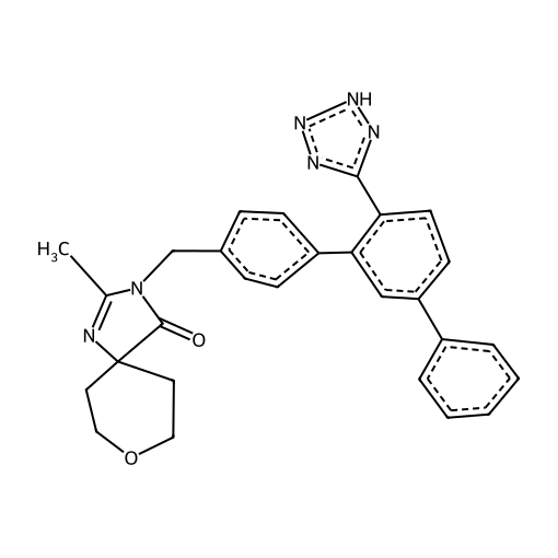 CC1=NC2(CCOCC2)C(=O)N1Cc1ccc(-c2cc(-c3ccccc3)ccc2-c2nn[nH]n2)cc1